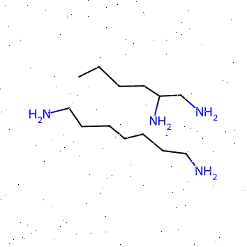 CCCCC(N)CN.NCCCCCCCN